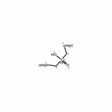 CCCCCCCC[SH](=O)(O)CCCCCCCC